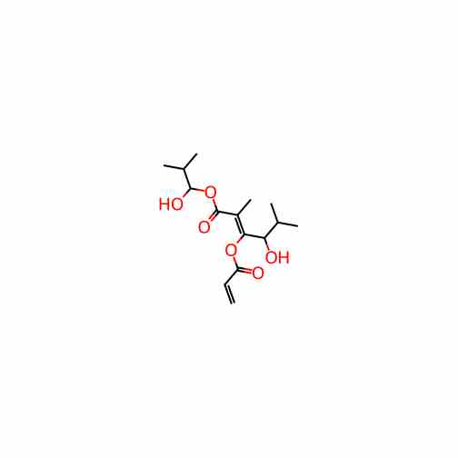 C=CC(=O)OC(=C(C)C(=O)OC(O)C(C)C)C(O)C(C)C